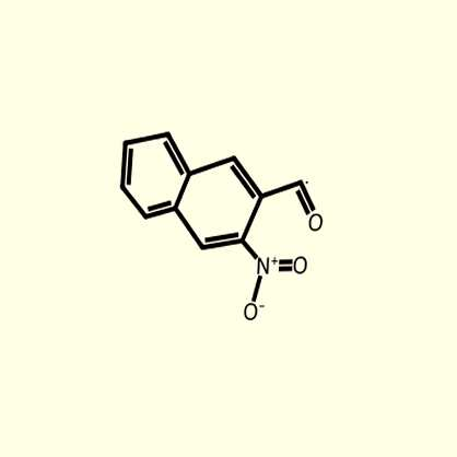 O=[C]c1cc2ccccc2cc1[N+](=O)[O-]